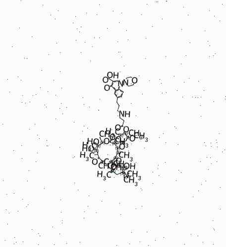 CC[C@H]1OC(=O)[C@H](C)[C@@H](O[C@H]2C[C@@](C)(OC)[C@@H](OC(=O)CCNCCCc3ccc4c(c3)c(=O)c(C(=O)O)cn4N3CCOCC3)[C@H](C)O2)[C@H](C)[C@@H](O[C@@H]2O[C@H](C)C[C@H](N(C)C)[C@H]2O)[C@](C)(OC)C[C@@H](C)C(=O)C(C)[C@@H](O)[C@]1(C)O